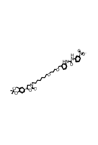 CC1(C)OCc2cc([C@@H]3CN(CCCCCCCOCCCOCc4cccc(NC(=O)Nc5cccc([N+](=O)[O-])c5)c4)C(=O)O3)ccc2O1